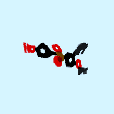 CC(C)Oc1ccc(S(=O)(=O)c2ccc(O)cc2)cc1C(C)C